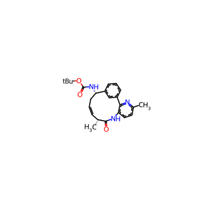 Cc1ccc2c(n1)-c1cccc(c1)[C@@H](NC(=O)OC(C)(C)C)CC=C[C@@H](C)C(=O)N2